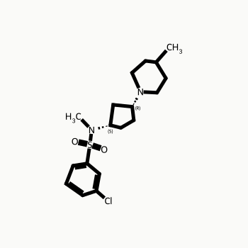 CC1CCN([C@@H]2CC[C@H](N(C)S(=O)(=O)c3cccc(Cl)c3)C2)CC1